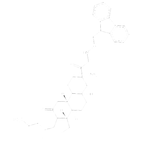 C[C@H](CCC(=O)O)[C@H]1CC[C@H]2[C@@H]3CC[C@@H]4C[C@](N)(C(=O)CNOCC5c6ccccc6-c6ccccc65)CC[C@]4(C)[C@H]3CC(=O)[C@]12C